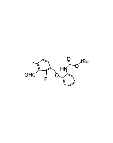 Cc1ccc(COc2ccccc2NC(=O)OC(C)(C)C)c(F)c1C=O